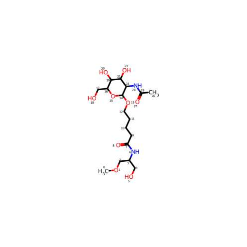 COCC(CO)NC(=O)CCCCOC1OC(CO)C(O)C(O)C1NC(C)=O